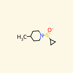 CC1CCN([S+]([O-])C2CC2)CC1